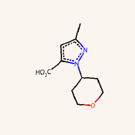 Cc1cc(C(=O)O)n(C2CCOCC2)n1